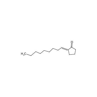 CCCCCCCC/C=C1\CCCC1=O